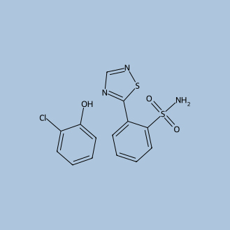 NS(=O)(=O)c1ccccc1-c1ncns1.Oc1ccccc1Cl